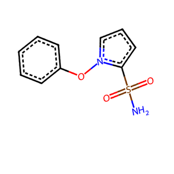 NS(=O)(=O)c1cccn1Oc1ccccc1